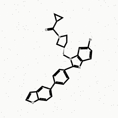 O=C(C1CC1)N1CC[C@H](Cn2c(-c3ccc(-c4ccc5occc5c4)cc3)nc3ccc(Br)cc32)C1